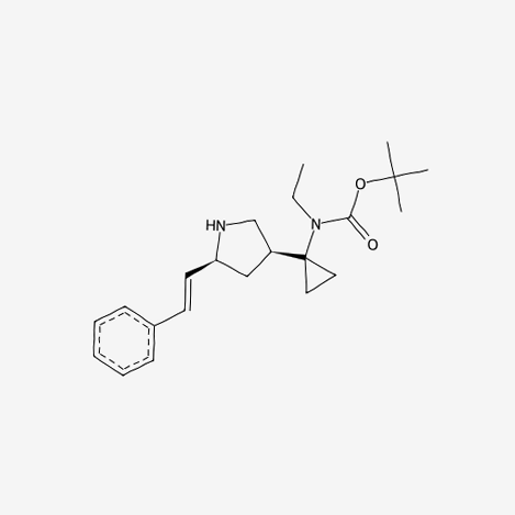 CCN(C(=O)OC(C)(C)C)C1([C@@H]2CN[C@H](C=Cc3ccccc3)C2)CC1